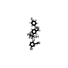 N#Cc1cc(Br)ccc1OCC(O)(c1ccc2c(cnn2-c2ccc(F)cc2)c1)C(F)(F)F